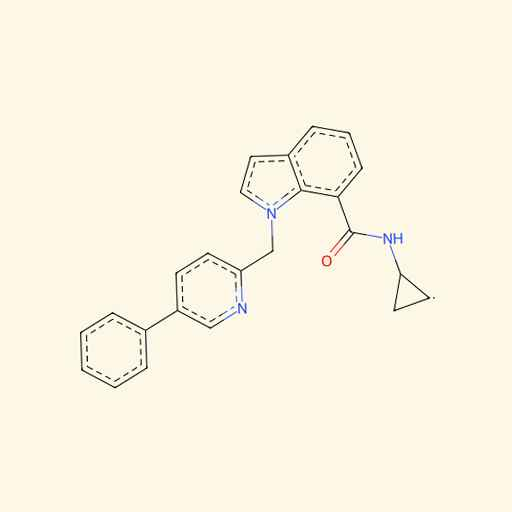 O=C(NC1[CH]C1)c1cccc2ccn(Cc3ccc(-c4ccccc4)cn3)c12